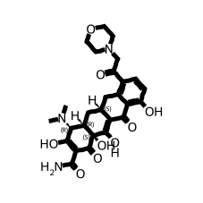 CN(C)[C@H]1C(O)=C(C(N)=O)C(=O)[C@@]2(O)C(O)=C3C(=O)c4c(O)ccc(C(=O)CN5CCOCC5)c4C[C@@H]3C[C@H]12